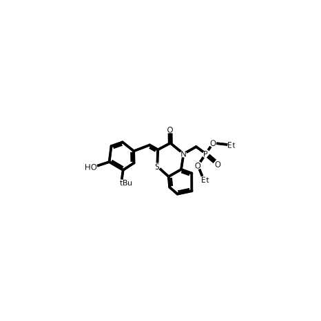 CCOP(=O)(CN1C(=O)C(=Cc2ccc(O)c(C(C)(C)C)c2)Sc2ccccc21)OCC